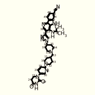 CC(C)Nc1c(-c2cn(C3CCN(CC4CCN(c5ccc(N6CCC(=O)NC6=O)cn5)CC4)CC3)nn2)cnc2c1[nH]c1cc(C#N)ccc12